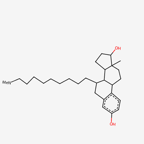 CNCCCCCCCCCC1Cc2cc(O)ccc2C2CCC3(C)C(O)CCC3C12